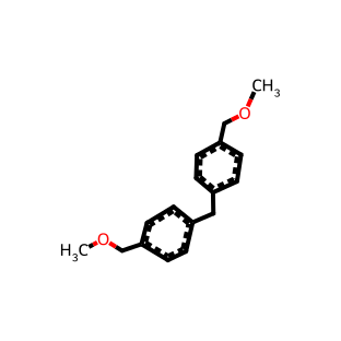 COCc1ccc(Cc2ccc(COC)cc2)cc1